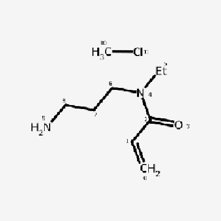 C=CC(=O)N(CC)CCCN.CCl